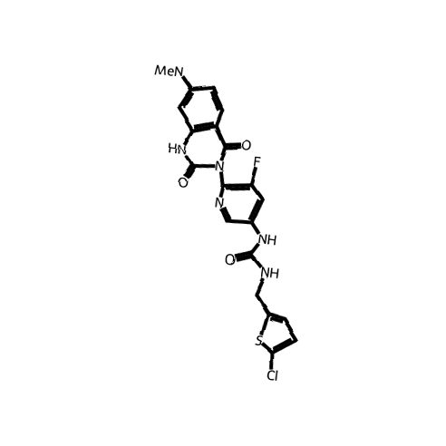 CNc1ccc2c(=O)n(-c3ncc(NC(=O)NCc4ccc(Cl)s4)cc3F)c(=O)[nH]c2c1